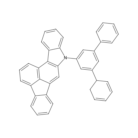 C1=CCC(c2cc(-c3ccccc3)cc(-n3c4ccccc4c4c5cccc6c5c(cc43)-c3ccccc3-6)c2)C=C1